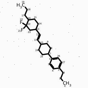 CCCc1ccc(C2CCC(/C=C/C3CCC(CCC)C(F)(F)C3)CC2)cc1